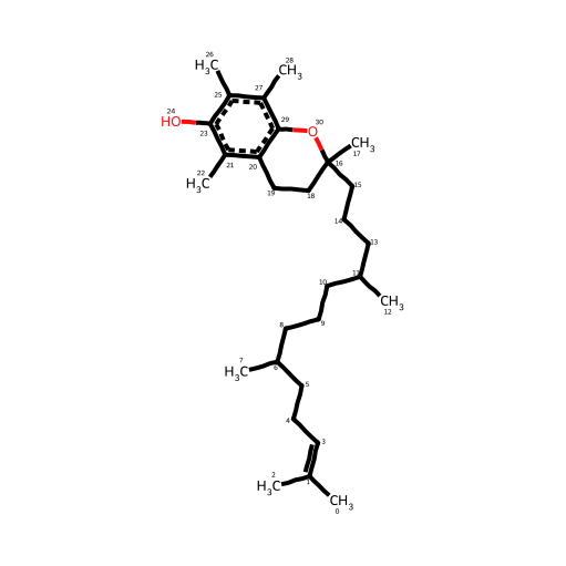 CC(C)=CCCC(C)CCCC(C)CCCC1(C)CCc2c(C)c(O)c(C)c(C)c2O1